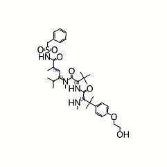 CN[C@H](C(=O)N[C@H](C(=O)N(C)[C@H](/C=C(\C)C(=O)NS(=O)(=O)Cc1ccccc1)C(C)C)C(C)(C)C)C(C)(C)c1ccc(OCCO)cc1